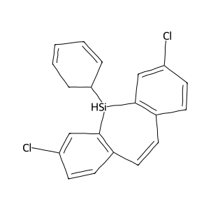 Clc1ccc2c(c1)[SiH](C1C=CC=CC1)c1cc(Cl)ccc1C=C2